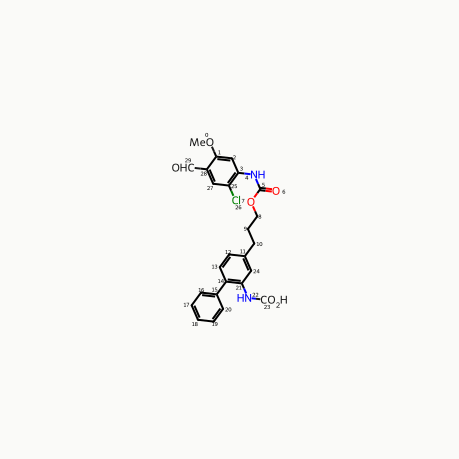 COc1cc(NC(=O)OCCCc2ccc(-c3ccccc3)c(NC(=O)O)c2)c(Cl)cc1C=O